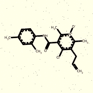 C=CCc1c(Cl)c(C(=O)Nc2ccc(C)cc2C)c(C)[n+]([O-])c1C